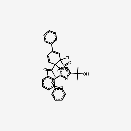 CC(C)(O)c1cn(C2(C(=O)NCc3ccccc3)C=CC(c3ccccc3)=CC2(Cl)S(C)(=O)=O)c(-c2c(F)cccc2Cl)n1